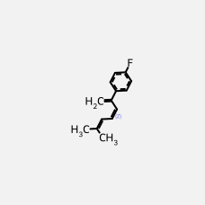 C=C(/C=C\C=C(C)C)c1ccc(F)cc1